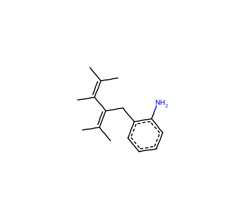 CC(C)=C(C)C(Cc1ccccc1N)=C(C)C